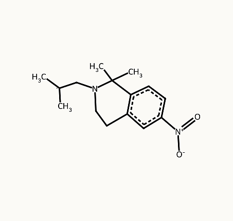 C[C](C)CN1CCc2cc([N+](=O)[O-])ccc2C1(C)C